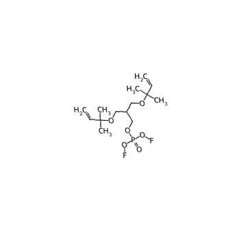 C=CC(C)(C)OCC(COC(C)(C)C=C)COP(=O)(OF)OF